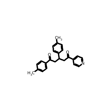 Cc1ccc(C(=O)CC(CC(=O)c2ccncc2)c2ccc(C)cc2)cc1